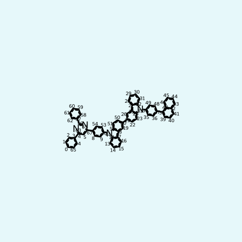 c1ccc(-c2cc(-c3ccc(-n4c5ccccc5c5cc(-c6ccc7c(c6)c6ccccc6n7-c6ccc(-c7cccc8ccccc78)cc6)ccc54)cc3)nc(-c3ccccc3)n2)cc1